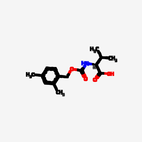 Cc1ccc(COC(=O)N[C@H](C(=O)O)C(C)C)c(C)c1